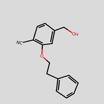 N#Cc1ccc(CO)cc1OCCc1ccccc1